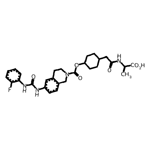 CC(NC(=O)CC1CCC(OC(=O)N2CCc3cc(NC(=O)Nc4ccccc4F)ccc3C2)CC1)C(=O)O